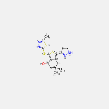 Cc1nnc(Sc2sc(-c3cc[nH]n3)c3c2C(=O)CC(C)(C)C3)s1